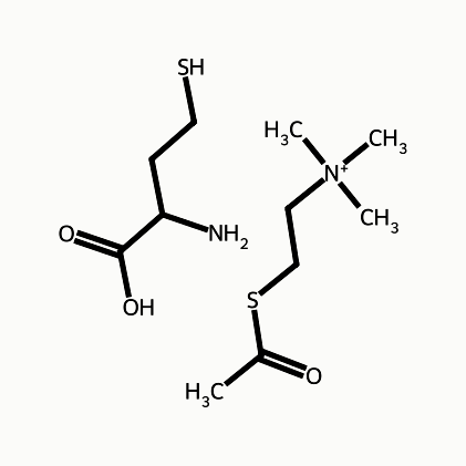 CC(=O)SCC[N+](C)(C)C.NC(CCS)C(=O)O